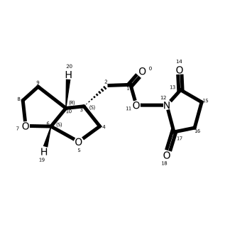 O=C(C[C@@H]1CO[C@@H]2OCC[C@H]12)ON1C(=O)CCC1=O